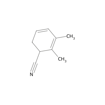 CC1=C(C)C(C#N)CC=C1